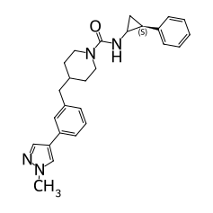 Cn1cc(-c2cccc(CC3CCN(C(=O)NC4C[C@H]4c4ccccc4)CC3)c2)cn1